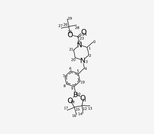 CC1CN(Cc2cccc(B3OC(C)(C)C(C)(C)O3)c2)CCN1C(=O)OC(C)(C)C